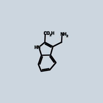 NCc1c(C(=O)O)[nH]c2ccccc12